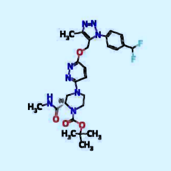 CNC(=O)[C@@H]1CN(c2ccc(OCc3c(C)nnn3-c3ccc(C(F)F)cc3)nn2)CCN1C(=O)OC(C)(C)C